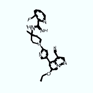 CCOc1cc(-c2ccc(N3CCC(C)(NC(=N)c4ncccc4F)CC3)nc2)c2c(C#N)cnn2c1